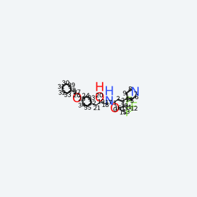 O=C(C=C(c1ccncc1)C1(C(F)(F)F)CC1)NCC(O)Cc1ccc(OCc2ccccc2)cc1